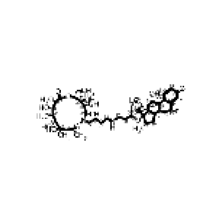 CC[C@H]1OC(=O)[C@H](C)[C@@H](O)[C@H](C)[C@@H](O)[C@](C)(O)C[C@@H](C)CN(CCCCNCCC(=O)O[C@]2(C(=O)OC)[C@H](C)CC3C4C[C@H](F)C5=CC(=O)C=C[C@]5(C)[C@@]4(F)[C@@H](O)C[C@@]32C)[C@H](C)[C@@H](O)[C@]1(C)O